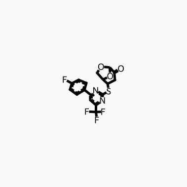 O=C1CC(Sc2nc(-c3ccc(F)cc3)cc(C(F)(F)F)n2)C2COC1O2